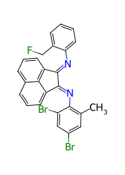 Cc1cc(Br)cc(Br)c1/N=C1/C(=N/c2ccccc2CF)c2cccc3cccc1c23